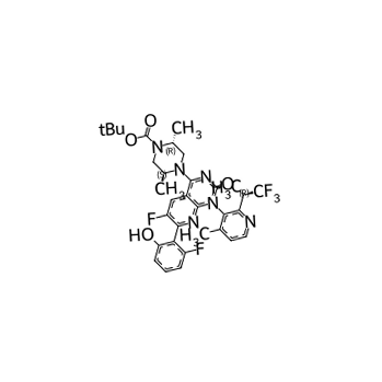 Cc1ccnc([C@@H](C)C(F)(F)F)c1-n1c(=O)nc(N2C[C@@H](C)N(C(=O)OC(C)(C)C)C[C@@H]2C)c2cc(F)c(-c3c(O)cccc3F)nc21